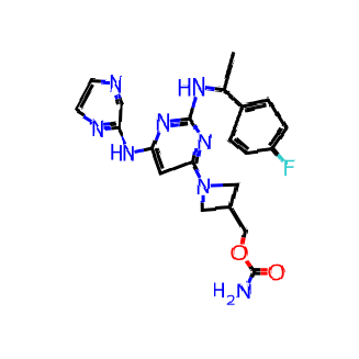 CC(Nc1nc(Nc2cnccn2)cc(N2CC(COC(N)=O)C2)n1)c1ccc(F)cc1